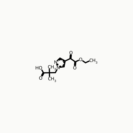 CCOC(=O)C(=O)c1cnn(CC(C)(C)C(=O)O)c1